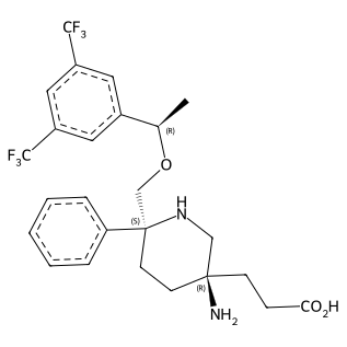 C[C@@H](OC[C@@]1(c2ccccc2)CC[C@@](N)(CCC(=O)O)CN1)c1cc(C(F)(F)F)cc(C(F)(F)F)c1